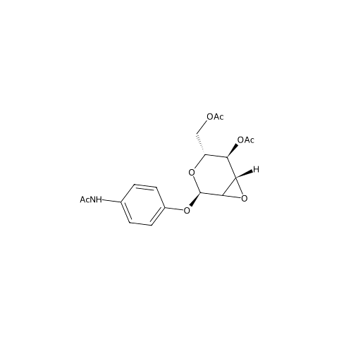 CC(=O)Nc1ccc(O[C@H]2O[C@H](COC(C)=O)[C@@H](OC(C)=O)[C@@H]3OC23)cc1